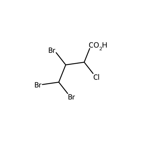 O=C(O)C(Cl)C(Br)C(Br)Br